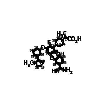 CC(C(=O)O)N1CCN(c2c(F)c(Oc3cccc(C4=NCCN4C)c3)nc(Oc3cc(C(=N)N)ccc3O)c2F)CC1